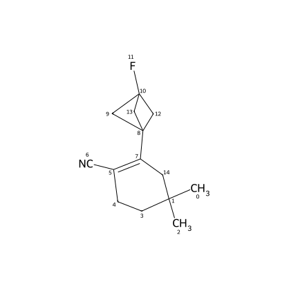 CC1(C)CCC(C#N)=C(C23CC(F)(C2)C3)C1